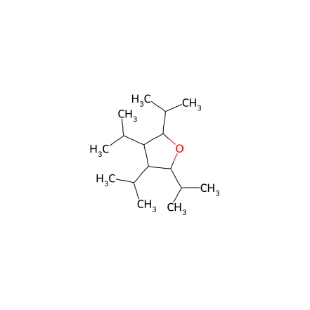 CC(C)C1OC(C(C)C)C(C(C)C)C1C(C)C